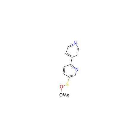 COOSc1ccc(-c2ccncc2)nc1